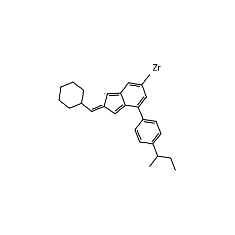 CCC(C)c1ccc(-c2cc(C)cc3c2=CC(=CC2CCCCC2)[C]=3)cc1.[Zr]